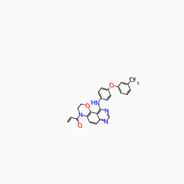 C=CC(=O)N1CCOc2c1ccc1ncnc(Nc3ccc(Oc4cccc(C(F)(F)F)c4)cc3)c21